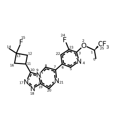 C[C@@H](Oc1ncc(-c2cn3c(C4CC(C)(F)C4)nnc3cn2)cc1F)C(F)(F)F